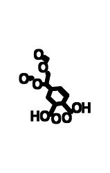 O=COCC(OC=O)C1C=CC(C(=O)O)C(C(=O)O)C1